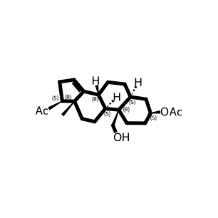 CC(=O)O[C@H]1CC[C@@]2(CO)[C@@H](CC[C@H]3C4=CC[C@H](C(C)=O)[C@@]4(C)CC[C@@H]32)C1